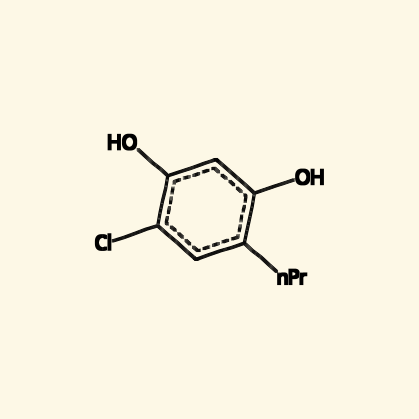 CCCc1cc(Cl)c(O)cc1O